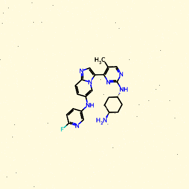 Cc1cnc(N[C@H]2CC[C@H](N)CC2)nc1-c1cnc2ccc(Nc3ccc(F)nc3)cn12